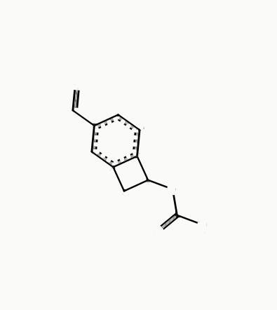 C=Cc1ccc2c(c1)CC2OC(=O)CC